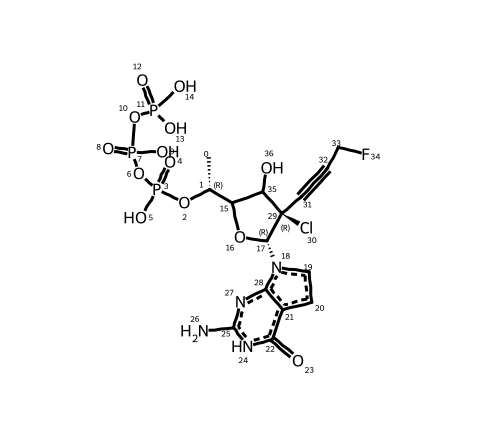 C[C@@H](OP(=O)(O)OP(=O)(O)OP(=O)(O)O)C1O[C@@H](n2ccc3c(=O)[nH]c(N)nc32)[C@@](Cl)(C#CCF)C1O